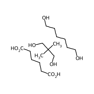 CC(C)(CO)CO.O=C(O)CCCCC(=O)O.OCCCCCCO